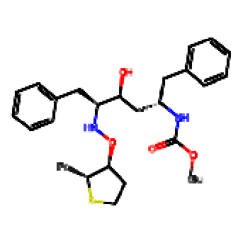 CC(C)[C@@H]1SCC[C@@H]1ON[C@@H](Cc1ccccc1)[C@@H](O)C[C@H](Cc1ccccc1)NC(=O)OC(C)(C)C